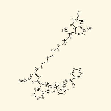 COc1cc(OCCCCCCCCCNC[C@H](O)c2ccc(O)c3[nH]c(=O)ccc23)cc(C(NC(=O)O[C@H]2C[N+]3(CC(=O)c4ccccc4)CCC2CC3)c2ccccc2)c1